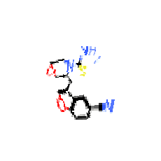 N#Cc1ccc2occ(C[C@H]3COCCN3C(N)=S)c2c1